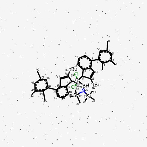 Cc1cc(C)c(C)c(-c2cccc3c2C=C(C(C)(C)C)[CH]3[Zr]([Cl])([Cl])([BH]N([Si](C)(C)C)[Si](C)(C)C)[CH]2C(C(C)(C)C)=Cc3c(-c4cc(C)cc(C)c4C)cccc32)c1